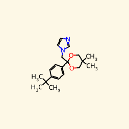 CC1(C)COC(Cn2ccnc2)(c2ccc(C(C)(C)C)cc2)OC1